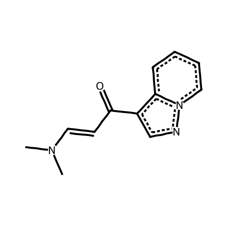 CN(C)C=CC(=O)c1cnn2ccccc12